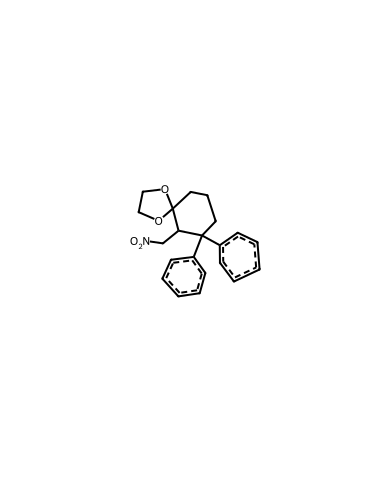 O=[N+]([O-])CC1C2(CCCC1(c1ccccc1)c1ccccc1)OCCO2